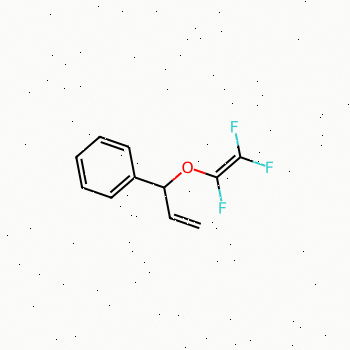 C=CC(OC(F)=C(F)F)c1ccccc1